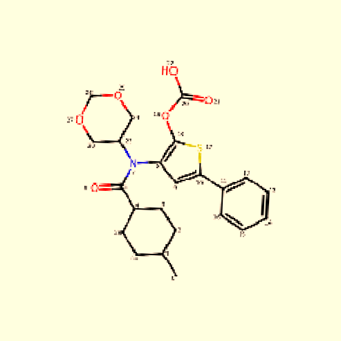 CC1CCC(C(=O)N(c2cc(-c3ccccc3)sc2OC(=O)O)C2COCOC2)CC1